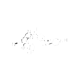 CN1CCC(=CS(=O)(=O)N2CCC(Nc3ncc4cc(C#N)c(=O)n([C@@H]5CCC[C@@]5(C)O)c4n3)CC2)CC1